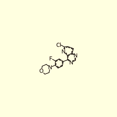 Fc1cc(-c2ncnc3ccc(Cl)nc23)ccc1N1CCOCC1